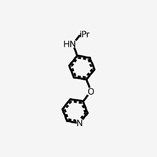 CC(C)Nc1ccc(Oc2cccnc2)cc1